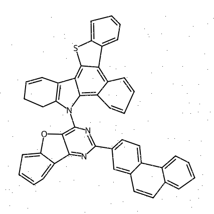 C1=Cc2c(n(-c3nc(-c4ccc5c(ccc6ccccc65)c4)nc4c3oc3ccccc34)c3c4ccccc4c4c5ccccc5sc4c23)CC1